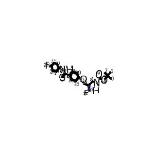 CC(C)(C)OC(=O)NC/C(=C/F)COc1ccc(C(=O)Nc2ccc(F)cc2)cc1